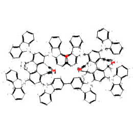 N#Cc1c(-n2c3ccccc3c3ccccc32)cc(-n2c3ccccc3c3ccccc32)c(C#N)c1-c1c(C#N)c(-n2c3ccccc3c3ccccc32)cc(-n2c3ccccc3c3cc(-c4ccc5c(c4)c4ccccc4n5-c4cc(-n5c6ccccc6c6ccccc65)c(C(F)(F)F)c(-c5c(C#N)c(-n6c7ccccc7c7ccccc76)cc(-n6c7ccccc7c7ccccc76)c5C#N)c4C(F)(F)F)ccc32)c1C#N